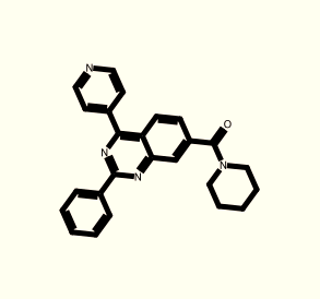 O=C(c1ccc2c(-c3ccncc3)nc(-c3ccccc3)nc2c1)N1CCCCC1